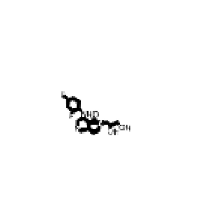 O=c1c2c(Nc3ccc(I)cc3F)cncc2ccn1C[C@@H](O)CO